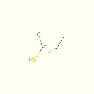 C/C=C(/S)Cl